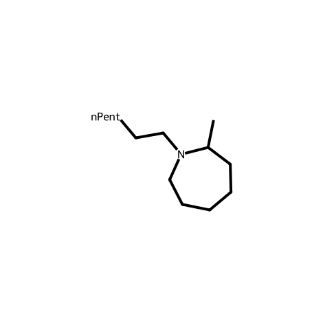 CCCCCCCN1CCCCCC1C